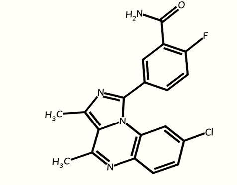 Cc1nc(-c2ccc(F)c(C(N)=O)c2)n2c1c(C)nc1ccc(Cl)cc12